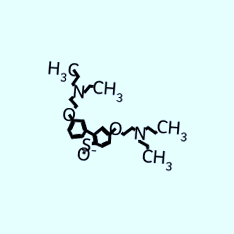 CCCN(CCC)CCOc1ccc2c(c1)c1cc(OCCN(CCC)CCC)ccc1[s+]2[O-]